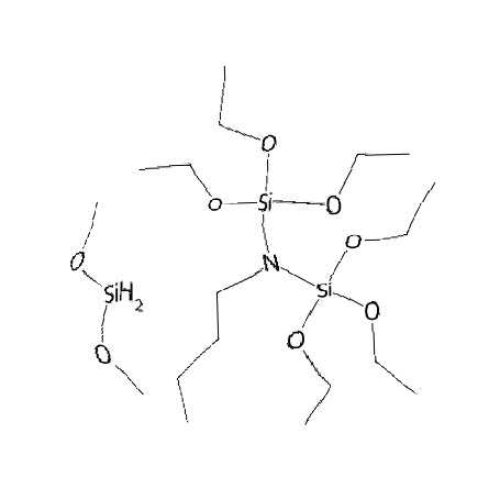 CCCCN([Si](OCC)(OCC)OCC)[Si](OCC)(OCC)OCC.CO[SiH2]OC